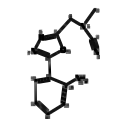 CN(C#N)Cc1nnc(-c2ccccc2N)o1